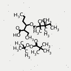 CC(C)(C)OOC(=O)C(C)(C)C.CCCC(OOC(C)(C)C(C)(C)CC)C(CC)C(=O)O